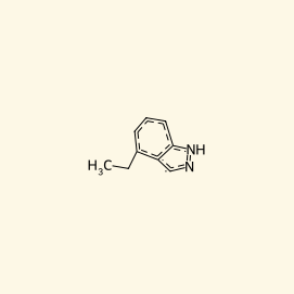 CCc1cccc2[nH]n[c]c12